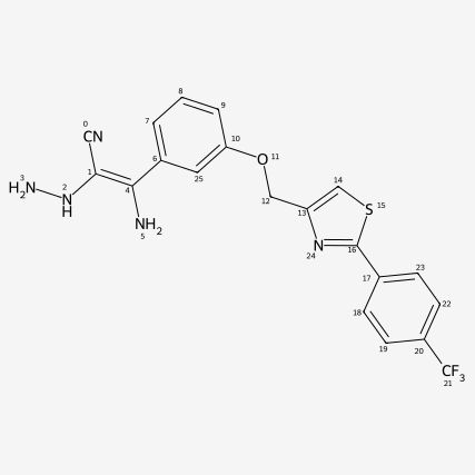 N#C/C(NN)=C(/N)c1cccc(OCc2csc(-c3ccc(C(F)(F)F)cc3)n2)c1